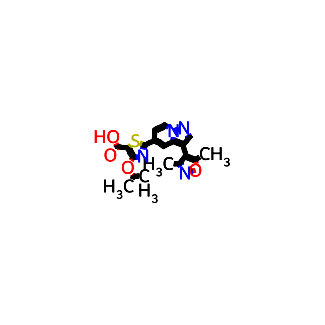 Cc1noc(C)c1-c1cnn2ccc(-c3nc(OC(C)C)c(C(=O)O)s3)cc12